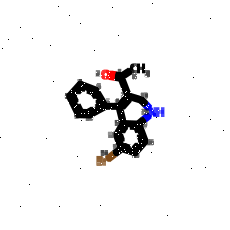 CC(=O)C1=C(c2ccccc2)c2cc(Br)ccc2NC1